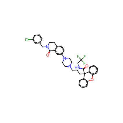 O=C1c2cc(N3CCN(CCCC4(C(=O)NCC(F)(F)F)c5ccccc5Oc5ccccc54)CC3)ccc2CCN1Cc1cccc(Cl)c1